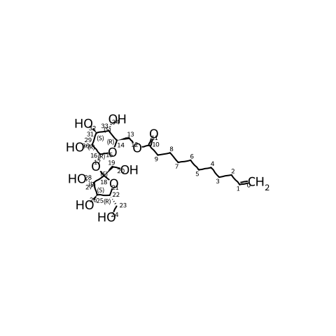 C=CCCCCCCCCC(=O)OC[C@H]1O[C@H](O[C@]2(CO)O[C@H](CO)[C@@H](O)[C@@H]2O)[C@H](O)[C@@H](O)[C@@H]1O